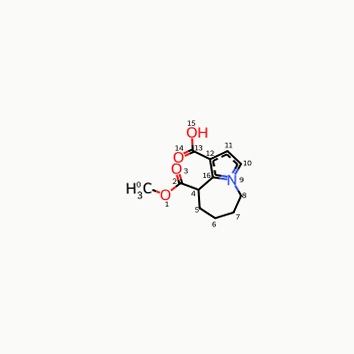 COC(=O)C1CCCCn2ccc(C(=O)O)c21